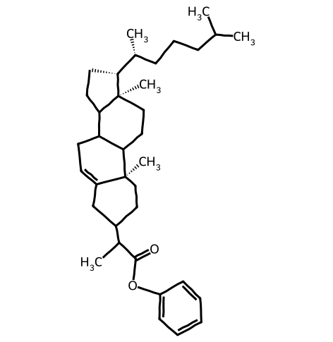 CC(C)CCC[C@@H](C)[C@H]1CCC2C3CC=C4CC(C(C)C(=O)Oc5ccccc5)CC[C@]4(C)C3CC[C@@]21C